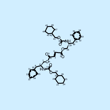 O=C(/C=C/C(=O)OC[C@H](Cc1ccccc1)NC(=O)OCC1CCCCC1)OC[C@H](Cc1ccccc1)NC(=O)OCC1CCCCC1